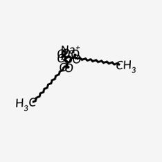 CCCCCCCCCCCCCCCCOC(=O)c1cc(C(=O)OCCCCCCCCCCCCCCCC)cc(S(=O)(=O)[O-])c1.[Na+]